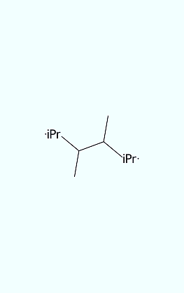 C[C](C)C(C)C(C)[C](C)C